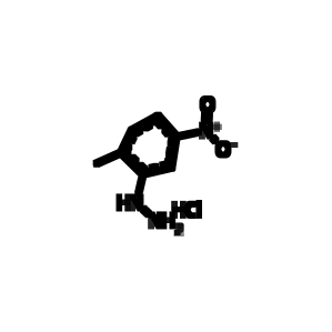 Cc1ccc([N+](=O)[O-])cc1NN.Cl